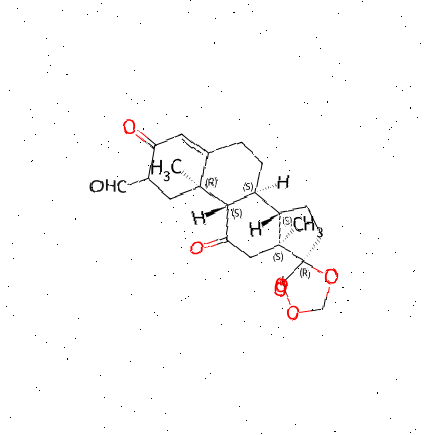 C[C@]12CC(C=O)C(=O)C=C1CC[C@@H]1[C@@H]2C(=O)C[C@@]2(C)[C@H]1CC[C@@]21OCOC12COCO2